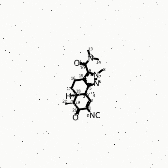 [C-]#[N+]C1=C[C@]2(C)c3nn(C)c(C(=O)N(C)C)c3CC[C@H]2[C@H](C)C1=O